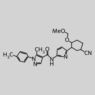 COCOC1CCC(C#N)CC1c1ccc(NC(=O)c2cnn(-c3ccc(C)cc3)c2C)cn1